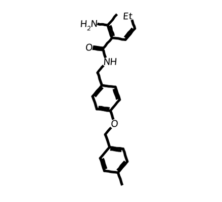 CC/C=C\C(C(=O)NCc1ccc(OCc2ccc(C)cc2)cc1)=C(/C)N